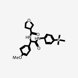 COc1ccc(C(NC(=O)C2CCOC2)C(=O)Nc2ccc(S(C)(C)C)cc2)cc1